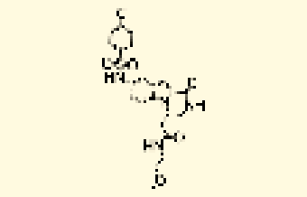 COCCNC(=O)CC1CNC(=O)c2cc3cc(NS(=O)(=O)c4ccc(Cl)cc4)ccc3n21